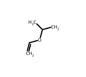 [CH2]C(C)OC=C